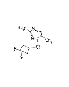 Nc1ncc(C(F)(F)F)c(OC2CC(F)(F)C2)n1